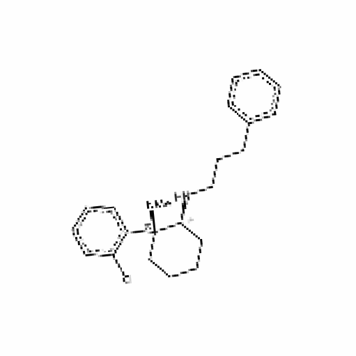 CN[C@]1(c2ccccc2Cl)CCCC[C@@H]1NCCCc1ccccc1